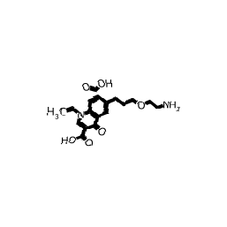 CCn1cc(C(=O)O)c(=O)c2cc(CCCOCCN)ccc21.O=CO